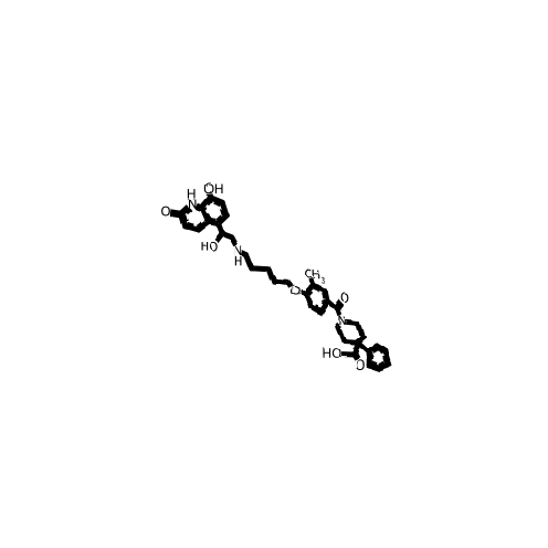 Cc1cc(C(=O)N2CCC(C(=O)O)(c3ccccc3)CC2)ccc1OCCCCCNCC(O)c1ccc(O)c2[nH]c(=O)ccc12